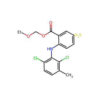 CCOCOC(=O)c1ccccc1Nc1c(Cl)ccc(C)c1Cl.S